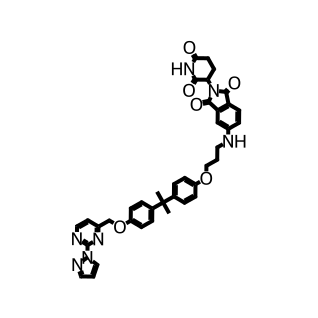 CC(C)(c1ccc(OCCCNc2ccc3c(c2)C(=O)N(C2CCC(=O)NC2=O)C3=O)cc1)c1ccc(OCc2ccnc(-n3cccn3)n2)cc1